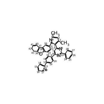 Cc1cc(C)c(-c2cc(-c3ccc(-c4ccccn4)cc3)nc(-c3ccccc3)n2)c(-c2ccc3oc4c(c3c2)C=CCC4)n1